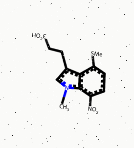 CSc1ccc([N+](=O)[O-])c2c1c(CCC(=O)O)cn2C